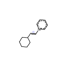 C(=C\[n+]1ccccc1)/C1CCCCC1